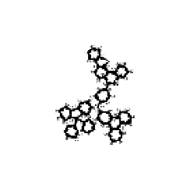 c1ccc(C2(c3ccccc3)c3ccccc3-c3ccc(N(c4ccc(-c5nc6ccccc6c6c5ccc5c7ccccc7sc56)cc4)c4ccc5c6ccccc6c6ccccc6c5c4)cc32)cc1